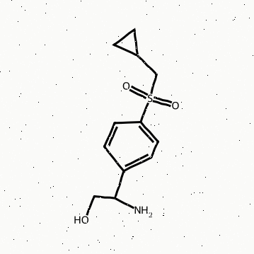 NC(CO)c1ccc(S(=O)(=O)CC2CC2)cc1